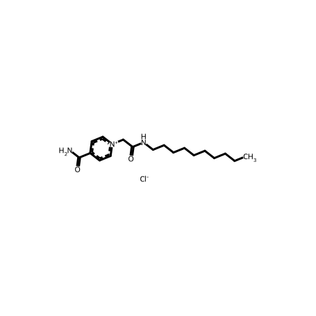 CCCCCCCCCCNC(=O)C[n+]1ccc(C(N)=O)cc1.[Cl-]